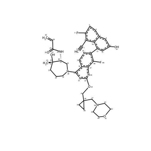 C#Cc1c(F)ccc2cc(O)cc(-c3ncc4c(N5CCC[C@](C)(O)[C@H](NC(=O)C=C)C5)nc(OCC5(CN6CCOCC6)CC5)nc4c3F)c12